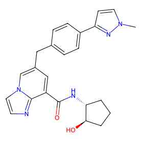 Cn1ccc(-c2ccc(Cc3cc(C(=O)N[C@@H]4CCC[C@H]4O)c4nccn4c3)cc2)n1